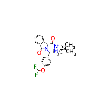 C[Si](C)(C)CNC(=O)C1c2ccccc2C(=O)N1Cc1ccc(OC(F)F)cc1